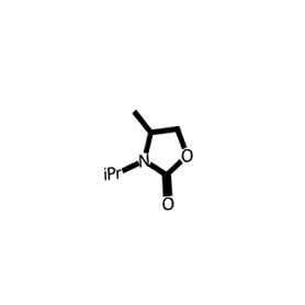 CC(C)N1C(=O)OCC1C